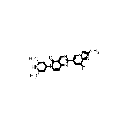 Cc1cn2cc(-c3ncc4c(=O)n([C@@H]5C[C@@H](C)N[C@@H](C)C5)ccc4n3)cc(F)c2n1